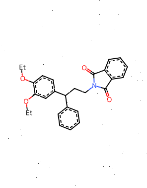 CCOc1ccc(C(CCN2C(=O)c3ccccc3C2=O)c2ccccc2)cc1OCC